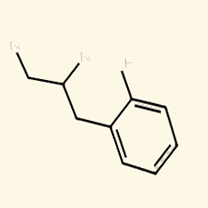 Oc1ccccc1CC(Br)CBr